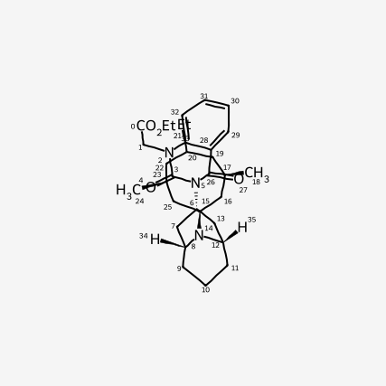 CCOC(=O)Cn1c(=O)n([C@H]2C[C@H]3CCC[C@@H](C2)N3[C@@H]2C[C@H](C)CC(CC)C[C@H](C)C2)c(=O)c2ccccc21